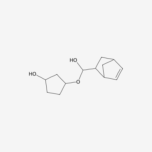 OC1CCC(OC(O)C2CC3C=CC2C3)C1